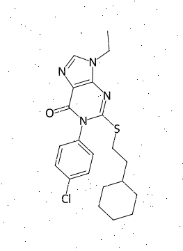 CCn1cnc2c(=O)n(-c3ccc(Cl)cc3)c(SCCC3CCCCC3)nc21